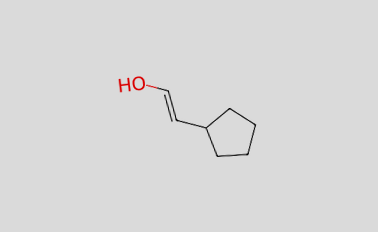 OC=CC1CCCC1